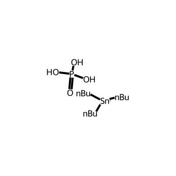 CCC[CH2][Sn]([CH2]CCC)[CH2]CCC.O=P(O)(O)O